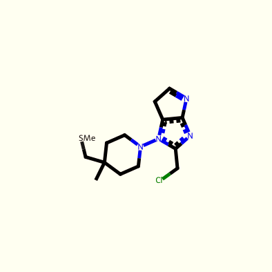 CSCC1(C)CCN(n2c(CCl)nc3c2CC=N3)CC1